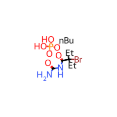 CCC(Br)(CC)C(=O)NC(N)=O.CCCCOP(=O)(O)O